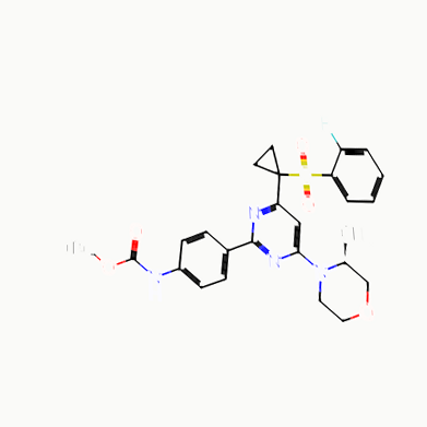 C[C@H]1COCCN1c1cc(C2(S(=O)(=O)c3ccccc3F)CC2)nc(-c2ccc(NC(=O)OC(C)(C)C)cc2)n1